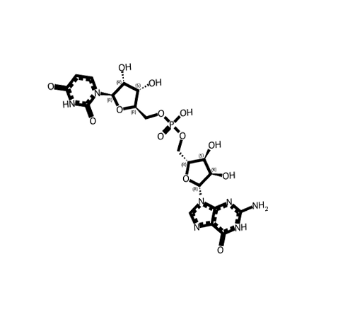 Nc1nc2c(ncn2[C@@H]2O[C@H](COP(=O)(O)OC[C@H]3O[C@@H](n4ccc(=O)[nH]c4=O)[C@H](O)[C@@H]3O)[C@@H](O)[C@H]2O)c(=O)[nH]1